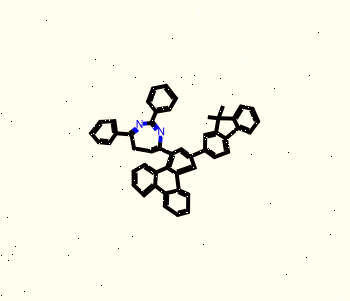 CC1(C)c2ccccc2-c2ccc(-c3cc(C4=CCC(c5ccccc5)=NC(c5ccccc5)=N4)c4c5ccccc5c5ccccc5c4c3)cc21